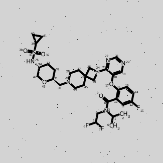 CC(C)N(CC(F)F)C(=O)c1cc(F)ccc1Oc1cncnc1N1CC2(CCN(C[C@@H]3CC[C@@H](NS(=O)(=O)C4CC4)CO3)CC2)C1